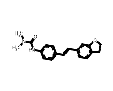 CN(C)C(=O)Nc1ccc(/C=C/c2ccc3c(c2)OCC3)cc1